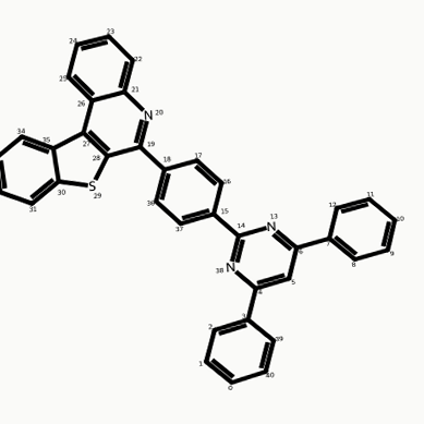 c1ccc(-c2cc(-c3ccccc3)nc(-c3ccc(-c4nc5ccccc5c5c4sc4ccccc45)cc3)n2)cc1